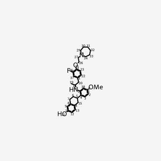 COc1ccc(C2CCc3cc(O)ccc3C2)c(NC(C)Cc2ccc(OCCN3CCCCCC3)c(F)c2)c1